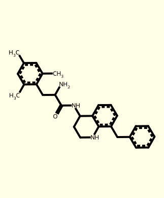 Cc1cc(C)c(CC(N)C(=O)NC2CCNc3c(Cc4ccccc4)cccc32)c(C)c1